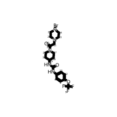 O=C(Nc1ccc(OC(F)(F)F)cc1)NC1CCN(C(=O)CN2CCN(Br)CC2)CC1